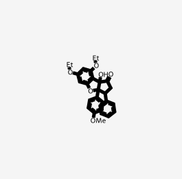 CCOc1cc(OCC)c2c(c1)OC1(c3ccc(OC)cc3)C(c3ccccc3)CC(=O)C21O